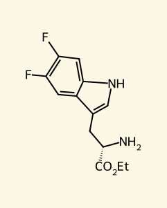 CCOC(=O)[C@@H](N)Cc1c[nH]c2cc(F)c(F)cc12